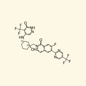 O=c1[nH]ncc(N[C@H]2CCC[C@@](O)(Cn3ccc4cc(-c5ncc(C(F)(F)F)cn5)c(F)cc4c3=O)C2)c1C(F)(F)F